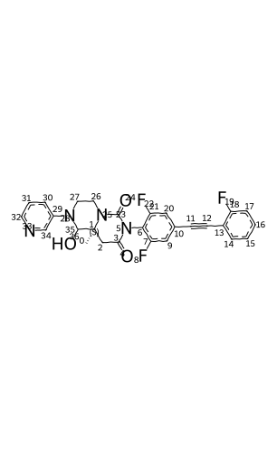 C[C@@]12CC(=O)N(c3c(F)cc(C#Cc4ccccc4F)cc3F)C(=O)N1CCN(c1cccnc1)C2O